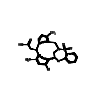 Cc1ccc2cc1CN1C[C@H](Oc3ccccc3S1(=O)=O)c1cc(c(C)cc1Cl)C2CC(=O)O